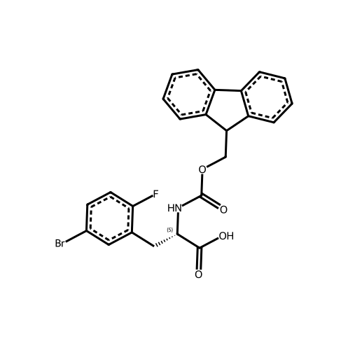 O=C(N[C@@H](Cc1cc(Br)ccc1F)C(=O)O)OCC1c2ccccc2-c2ccccc21